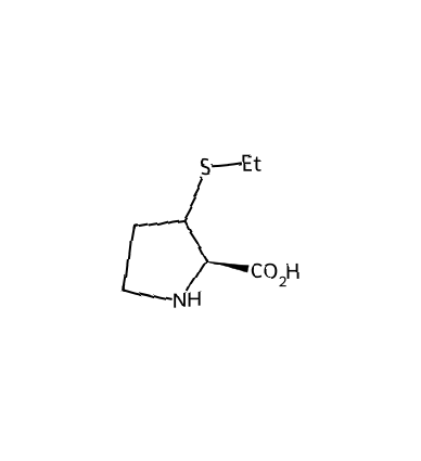 CCSC1CCN[C@@H]1C(=O)O